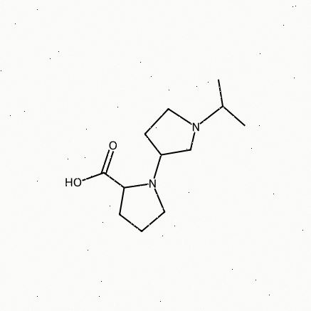 CC(C)N1CCC(N2CCCC2C(=O)O)C1